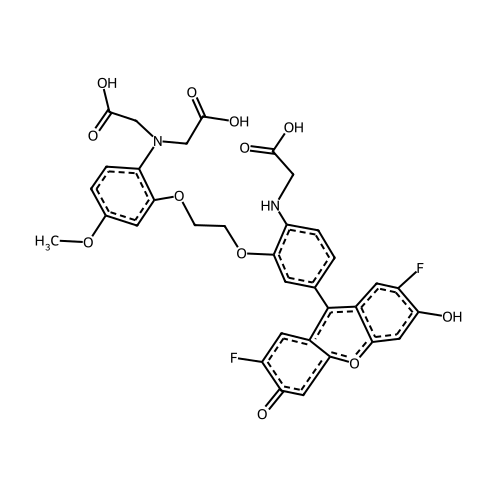 COc1ccc(N(CC(=O)O)CC(=O)O)c(OCCOc2cc(-c3c4cc(F)c(=O)cc-4oc4cc(O)c(F)cc34)ccc2NCC(=O)O)c1